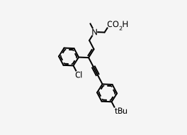 CN(C/C=C(/C#Cc1ccc(C(C)(C)C)cc1)c1ccccc1Cl)CC(=O)O